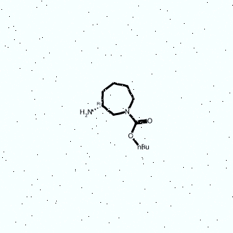 CCCCOC(=O)N1CCCC[C@@H](N)C1